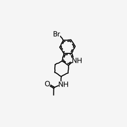 CC(=O)NC1CCc2c([nH]c3ccc(Br)cc23)C1